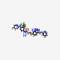 CC1CCN(Cc2ccc(NC(=O)CCSc3ccc4c(/C=C/c5ccccn5)n[nH]c4c3)cc2C(F)(F)F)CC1